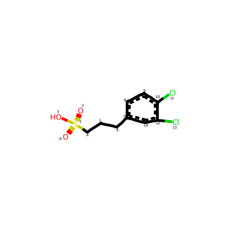 O=S(=O)(O)CCCc1ccc(Cl)c(Cl)c1